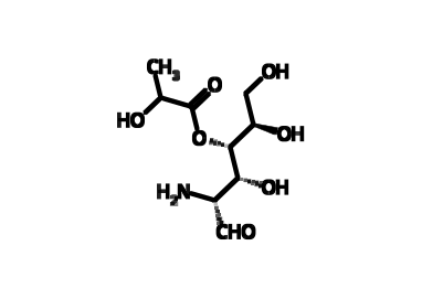 CC(O)C(=O)O[C@@H]([C@H](O)[C@@H](N)C=O)[C@H](O)CO